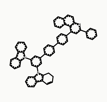 C1=Cc2c(n(-c3cc(-c4ccc(-c5ccc(-c6cc(-c7ccccc7)nc7ccc8ccccc8c67)cc5)cc4)cc(-n4c5ccccc5c5ccccc54)c3)c3ccccc23)CC1